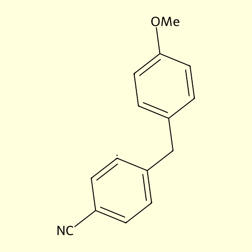 COc1ccc(Cc2[c]cc(C#N)cc2)cc1